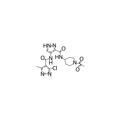 Cc1nn(C)c(Cl)c1C(=O)Nc1c[nH]nc1C(=O)NC1CCN(S(C)(=O)=O)CC1